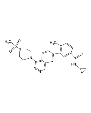 Cc1ccc(C(=O)NC2CC2)cc1-c1ccc2c(N3CCN(S(C)(=O)=O)CC3)nncc2c1